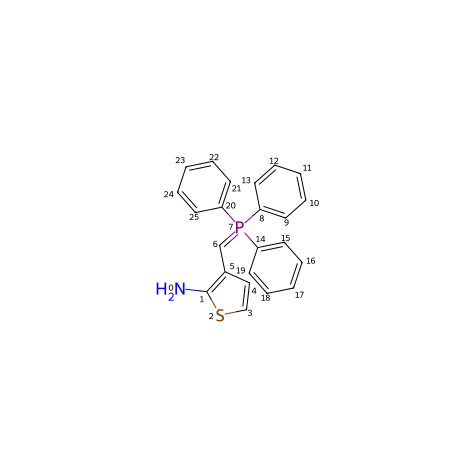 Nc1sccc1C=P(c1ccccc1)(c1ccccc1)c1ccccc1